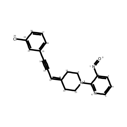 O=Nc1cccnc1N1CCC(=CC#Cc2cccc(Cl)c2)CC1